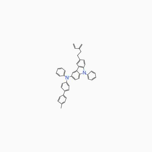 C=CC(=C)CCc1ccc2c(c1)c1cc(N(c3ccccc3)c3ccc(-c4ccc(C)cc4)cc3)ccc1n2-c1ccccc1